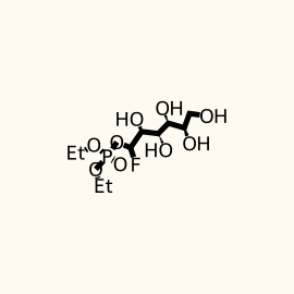 CCOP(=O)(OCC)OC(F)[C@@H](O)[C@@H](O)[C@H](O)[C@H](O)CO